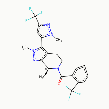 C[C@H]1c2nn(C)c(-c3cc(C(F)(F)F)nn3C)c2CCN1C(=O)c1ccccc1C(F)(F)F